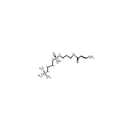 CC=CC(=O)OCCCOP(=O)(O)OCCC[N+](C)(C)C